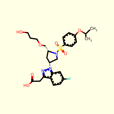 CC(C)Oc1ccc(S(=O)(=O)N2C[C@H](n3nc(CC(=O)O)c4ccc(F)cc43)C[C@@H]2COCCCO)cc1